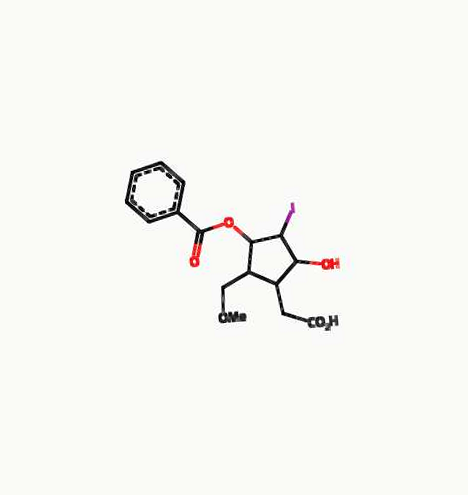 COCC1C(CC(=O)O)C(O)C(I)C1OC(=O)c1ccccc1